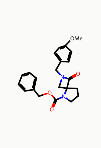 COc1ccc(CN2CC3(CCCN3C(=O)OCc3ccccc3)C2=O)cc1